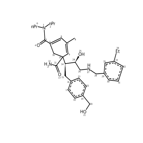 CCCN(CCC)C(=O)C1=CC(C)=CC(C(N)=O)([C@H](Cc2ccc(CO)cc2)[C@@H](O)CNCc2cccc(CC)c2)C1